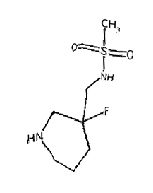 CS(=O)(=O)NCC1(F)CCCNC1